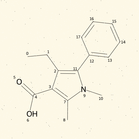 CCc1c(C(=O)O)c(C)n(C)c1-c1ccccc1